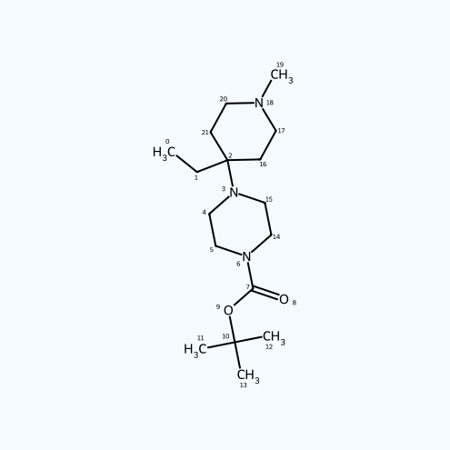 CCC1(N2CCN(C(=O)OC(C)(C)C)CC2)CCN(C)CC1